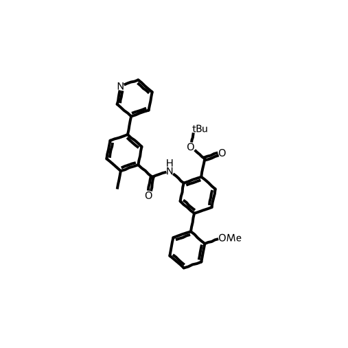 COc1ccccc1-c1ccc(C(=O)OC(C)(C)C)c(NC(=O)c2cc(-c3cccnc3)ccc2C)c1